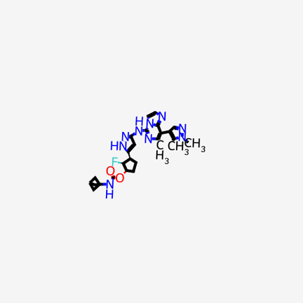 Cc1nc(Nc2cc([C@H]3CC[C@@H](OC(=O)NC45CC(C4)C5)[C@H]3F)[nH]n2)n2ccnc2c1-c1cnn(C)c1C